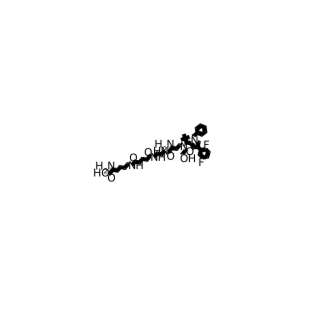 CC(C)(C)[C@H](c1cc(-c2cc(F)ccc2F)cn1Cc1ccccc1)N(CC[C@H](N)C(=O)NCCNC(=O)CCCC(=O)NCCCC[C@H](N)C(=O)O)C(=O)CO